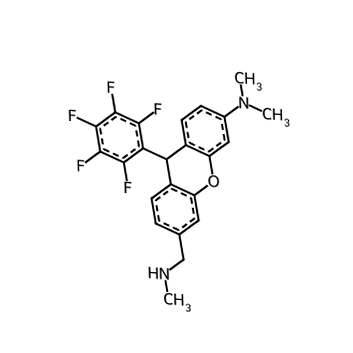 CNCc1ccc2c(c1)Oc1cc(N(C)C)ccc1C2c1c(F)c(F)c(F)c(F)c1F